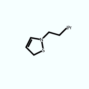 CC(C)CCN1C=CCS1